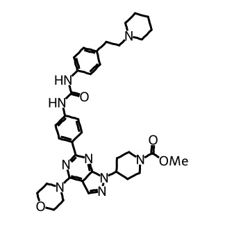 COC(=O)N1CCC(n2ncc3c(N4CCOCC4)nc(-c4ccc(NC(=O)Nc5ccc(CCN6CCCCC6)cc5)cc4)nc32)CC1